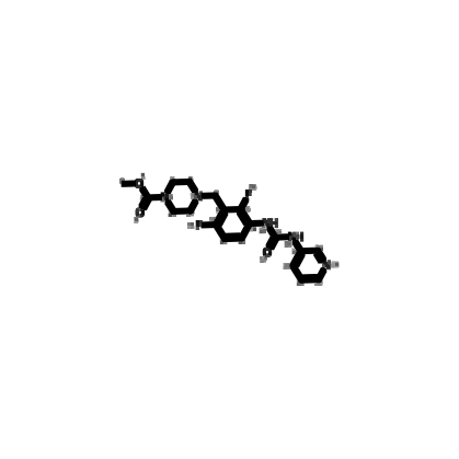 COC(=O)N1CCN(Cc2c(F)ccc(NC(=O)Nc3cccnc3)c2F)CC1